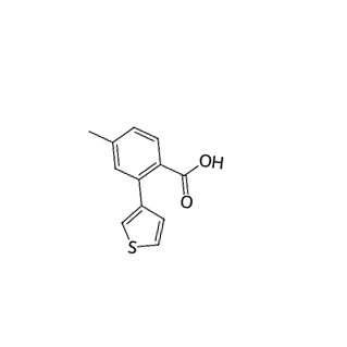 Cc1ccc(C(=O)O)c(-c2ccsc2)c1